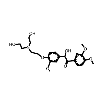 COc1ccc(C(=O)C(O)c2ccc(OCCN(CCO)CCO)c(OC)c2)cc1OC